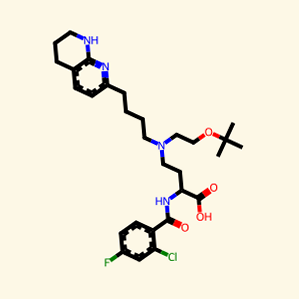 CC(C)(C)OCCN(CCCCc1ccc2c(n1)NCCC2)CCC(NC(=O)c1ccc(F)cc1Cl)C(=O)O